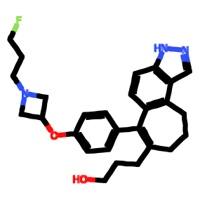 OCCCC1=C(c2ccc(OC3CN(CCCF)C3)cc2)c2ccc3[nH]ncc3c2CCC1